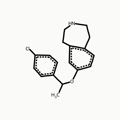 CC(Oc1ccc2c(c1)CCNCC2)c1ccc(Cl)cc1